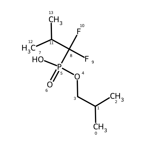 CC(C)COP(=O)(O)C(F)(F)C(C)C